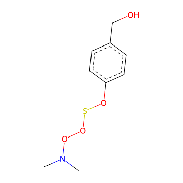 CN(C)OOSOc1ccc(CO)cc1